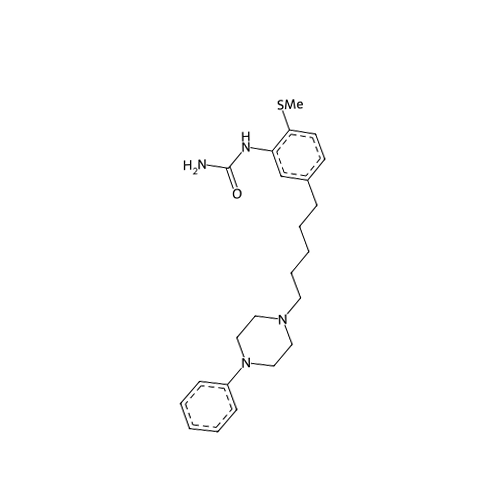 CSc1ccc(CCCCCN2CCN(c3ccccc3)CC2)cc1NC(N)=O